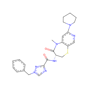 CN1C(=O)[C@@H](NC(=O)c2ncn(Cc3ccccc3)n2)CSc2cnc(N3CCCCC3)cc21